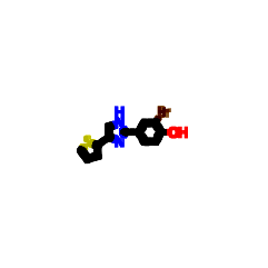 Oc1ccc(-c2nc(-c3cccs3)c[nH]2)cc1Br